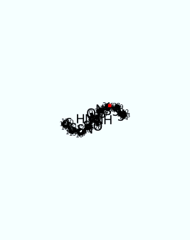 O=C1NC(C2CN=C(C3=CCC(C4CC=C(C5=CCCS5)S4)S3)S2)=C2C(=O)NC(c3cnc(-c4ccc(-c5ccc(-c6cccs6)s5)s4)s3)=C12